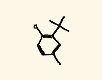 Cc1[c]cc(Cl)c(C(C)(C)C)c1